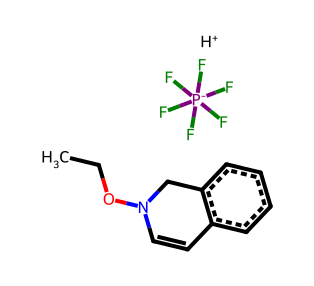 CCON1C=Cc2ccccc2C1.F[P-](F)(F)(F)(F)F.[H+]